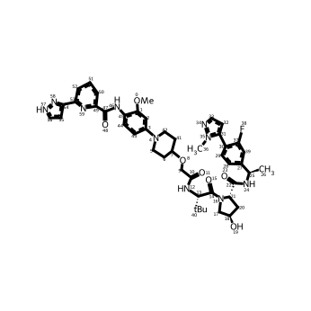 COc1cc(N2CCC(OCC(=O)N[C@H](C(=O)N3C[C@H](O)C[C@H]3C(=O)N[C@H](C)c3ccc(-c4ccnn4C)c(F)c3)C(C)(C)C)CC2)ccc1NC(=O)c1cccc(-c2cc[nH]n2)n1